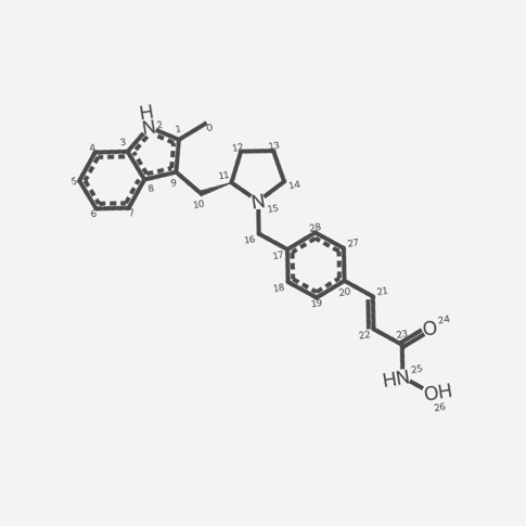 Cc1[nH]c2ccccc2c1C[C@H]1CCCN1Cc1ccc(C=CC(=O)NO)cc1